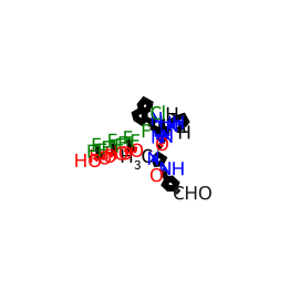 CN1C[C@H](NC(=O)c2ccc(C=O)cc2)C[C@H]1COc1nc(N2C[C@H]3CC[C@@H](C2)N3)c2cnc(-c3cccc4cccc(Cl)c34)c(F)c2n1.O=C(O)C(F)(F)F.O=C(O)C(F)(F)F.O=C(O)C(F)(F)F